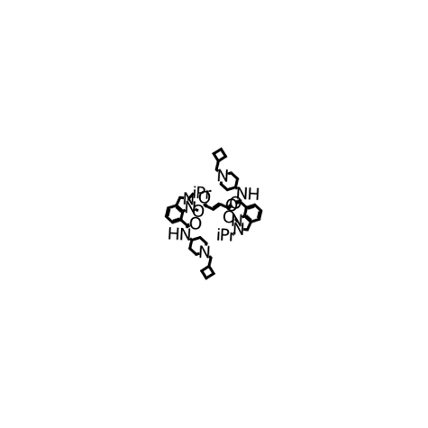 CC(C)N1Cc2cccc(C(=O)NC3CCN(CC4CCC4)CC3)c2N1OC(=O)/C=C/C(=O)ON1c2c(cccc2C(=O)NC2CCN(CC3CCC3)CC2)CN1C(C)C